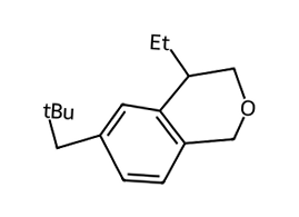 CCC1COCc2ccc(CC(C)(C)C)cc21